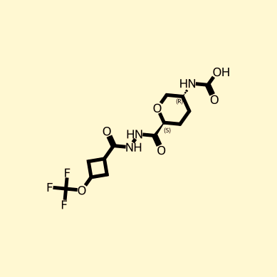 O=C(O)N[C@@H]1CC[C@@H](C(=O)NNC(=O)C2CC(OC(F)(F)F)C2)OC1